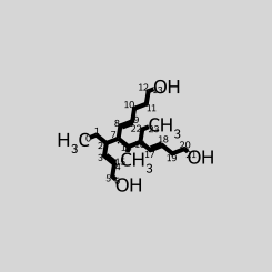 CCC(C=CCO)[C](C=CCCCO)C(C)C(C=CCCO)CC